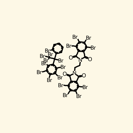 Brc1ccccc1C(Br)(c1c(Br)c(Br)c(Br)c(Br)c1Br)C(Br)(Br)Br.O=C1c2c(Br)c(Br)c(Br)c(Br)c2C(=O)N1CCN1C(=O)c2c(Br)c(Br)c(Br)c(Br)c2C1=O